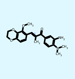 COc1c(/C=C(\C)C(=O)c2ccc(N(C)C)c(N)c2)ccc2c1OCCO2